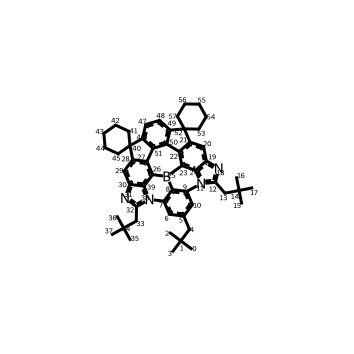 CC(C)(C)Cc1cc2c3c(c1)-n1c(CC(C)(C)C)nc4cc5c6c(c41)B3c1c3c(cc4nc(CC(C)(C)C)n-2c14)C1(CCCCC1)c1ccc(c-6c1-3)C51CCCCC1